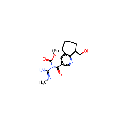 CN=C(N)N(C(=O)OC(C)(C)C)C(=O)c1cnc2c(c1)CCCCC2CO